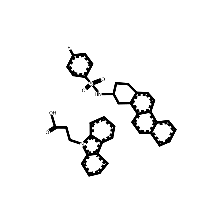 O=C(O)CCn1c2ccccc2c2ccccc21.O=S(=O)(NC1CCc2ccc3c(ccc4ccccc43)c2C1)c1ccc(F)cc1